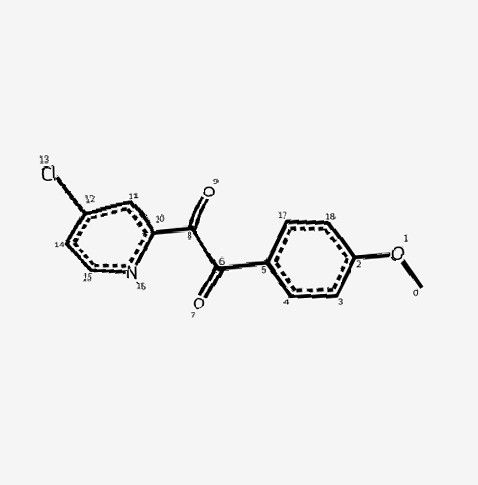 COc1ccc(C(=O)C(=O)c2cc(Cl)ccn2)cc1